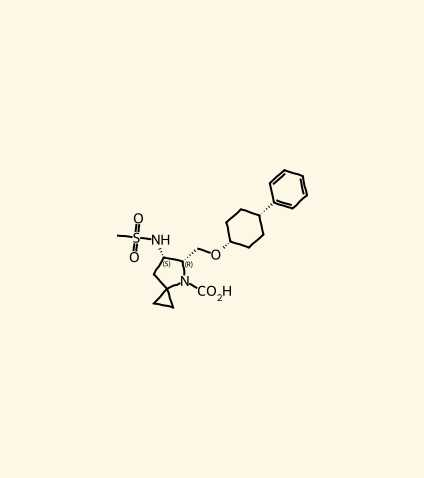 CS(=O)(=O)N[C@H]1CC2(CC2)N(C(=O)O)[C@H]1CO[C@H]1CC[C@@H](c2ccccc2)CC1